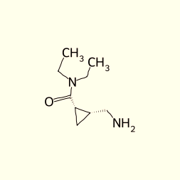 CCN(CC)C(=O)[C@H]1C[C@H]1CN